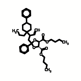 [CH]=CC(CC1(c2ccccc2)O[C@@H](C(=O)OCCCC)[C@H](C(=O)OCCCC)O1)C1(CCC)CCC(c2ccccc2)CC1